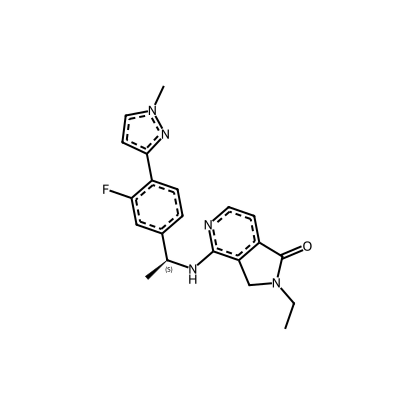 CCN1Cc2c(ccnc2N[C@@H](C)c2ccc(-c3ccn(C)n3)c(F)c2)C1=O